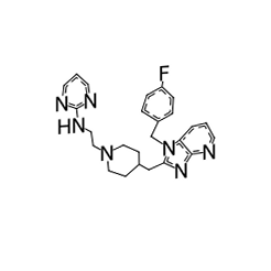 Fc1ccc(Cn2c(CC3CCN(CCNc4ncccn4)CC3)nc3ncccc32)cc1